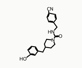 N#Cc1ccc(CNC(=O)N2CCC(Cc3cccc(O)c3)CC2)cc1